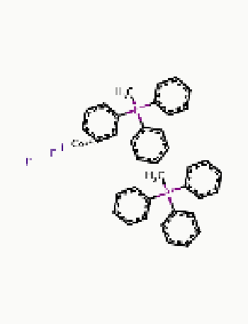 C[P+](c1ccccc1)(c1ccccc1)c1ccccc1.C[P+](c1ccccc1)(c1ccccc1)c1ccccc1.[Co+2].[I-].[I-].[I-].[I-]